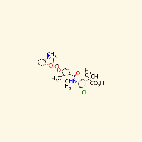 Cc1c(OC[C@@H]2CN(C)c3ccccc3O2)ccc(C(=O)Nc2cc(Cl)cc(C(C)(C)C(=O)O)c2)c1C